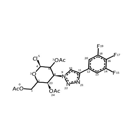 CC(=O)OCC1O[C@@H](Cl)C(OC(C)=O)[C@@H](n2cc(-c3cc(F)c(F)c(F)c3)nn2)[C@H]1OC(C)=O